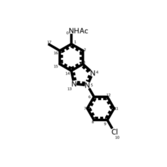 CC(=O)Nc1cc2nn(-c3ccc(Cl)cc3)nc2cc1C